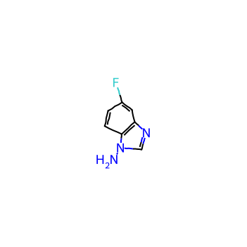 Nn1cnc2cc(F)ccc21